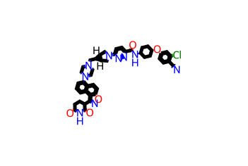 N#Cc1ccc(O[C@H]2CC[C@H](NC(=O)c3ccc(N4C[C@@H]5C(CN6CCN(c7cccc8c7ccc7onc(C9CCC(=O)NC9=O)c78)CC6)[C@@H]5C4)nn3)CC2)cc1Cl